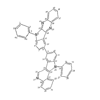 c1ccc(-n2c3ccc(-c4ccc5c(c4)c4cnc6ccccc6c4n5-c4ccccc4)cc3c3nc4ccccc4nc32)cc1